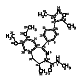 CNC(=O)N1N=C(c2ccc(-c3c(C)noc3C)cc2)c2cc(OC)c(OC)cc2C[C@@H]1C